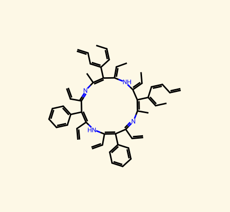 C=C/C=C\C(=C/C)c1c(C)nc(C=C)c(-c2ccccc2)c(C=C)[nH]c(C=C)c(-c2ccccc2)c(C=C)nc(C)c(C(/C=C\C)=C/C=C)/c(=C/C)[nH]/c1=C\C